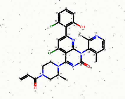 C=CC(=O)N1CCN(c2nc(=O)n(-c3c(C)ccnc3C(C)C)c3nc(-c4c(O)cccc4F)cc(Cl)c23)[C@@H](C)C1